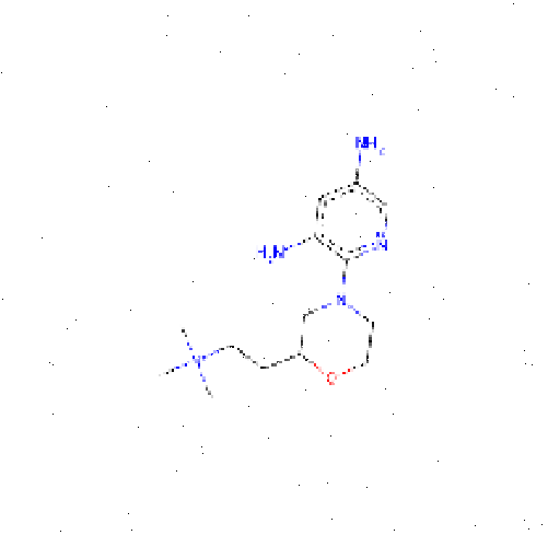 C[N+](C)(C)CCC1CN(c2ncc(N)cc2N)CCO1